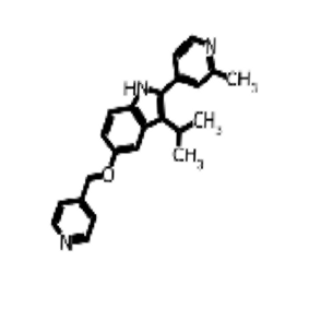 Cc1cc(-c2[nH]c3ccc(OCc4ccncc4)cc3c2C(C)C)ccn1